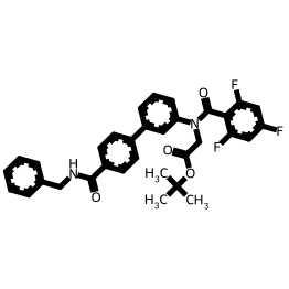 CC(C)(C)OC(=O)CN(C(=O)c1c(F)cc(F)cc1F)c1cccc(-c2ccc(C(=O)NCc3ccccc3)cc2)c1